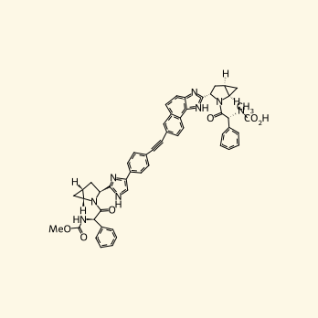 COC(=O)N[C@@H](C(=O)N1[C@@H]2C[C@@H]2C[C@H]1c1nc(-c2ccc(C#Cc3ccc4c(ccc5nc([C@@H]6C[C@H]7C[C@H]7N6C(=O)[C@@H](c6ccccc6)N(C)C(=O)O)[nH]c54)c3)cc2)c[nH]1)c1ccccc1